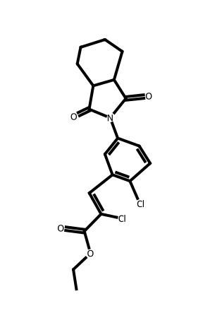 CCOC(=O)/C(Cl)=C/c1cc(N2C(=O)C3CCCCC3C2=O)ccc1Cl